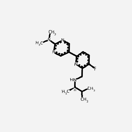 CC(C)[C@@H](C)NCc1nc(-c2cnc(N(C)C)nc2)ccc1F